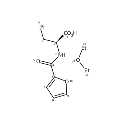 CC(C)C[C@H](NC(=O)c1ccco1)C(=O)O.CCOCC